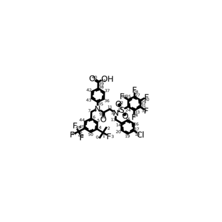 CC(C)(F)c1cc(CN(C(=O)CN(Cc2ccc(Cl)cc2)S(=O)(=O)c2c(F)c(F)c(F)c(F)c2F)c2ccc(C(=O)O)cc2)cc(C(F)(F)F)c1